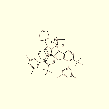 Cc1cc(C)cc(-c2c(C(C)(C)C)ccc3c2C=C(c2ccccc2)[CH]3[Zr]([Cl])([Cl])([CH]2C(c3ccccc3)=Cc3c2ccc(C(C)(C)C)c3-c2cc(C)cc(C)c2)[SiH](C)C)c1